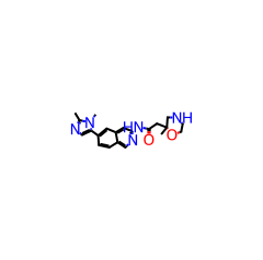 Cc1ncc(-c2ccc3cnc(NC(=O)CC4(C)CNCCO4)cc3c2)n1C